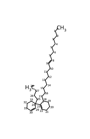 CCCCCCCCC=CCCCCCCCC[C]1CCCC=C1C1(CCCC)C=CCCC1